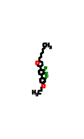 CCCCCCCC1CCC(c2ccc(-c3ccc(OCCC)cc3F)c(F)c2F)CO1